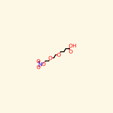 O=C(O)CCCOCCOCCO[N+](=O)[O-]